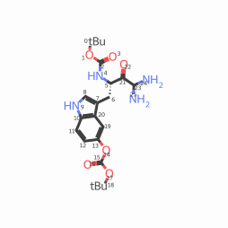 CC(C)(C)OC(=O)N[C@@H](Cc1c[nH]c2ccc(OC(=O)OC(C)(C)C)cc12)C(=O)C(N)N